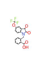 O=C(O)c1ccccc1CN1C(=O)C(=O)c2cc(OC(F)(F)F)ccc21